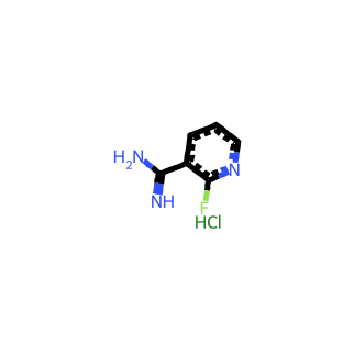 Cl.N=C(N)c1cccnc1F